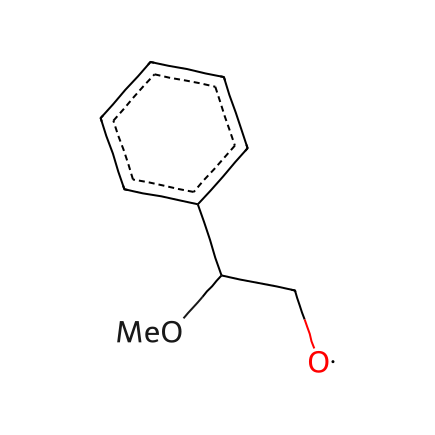 COC(C[O])c1ccccc1